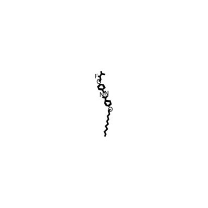 CCCCCCCCCCCOc1ccc(-c2cnc(-c3ccc(OCC(F)C(C)C)cc3)nc2)cc1